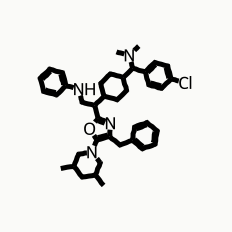 CC1CC(C)CN(c2oc(C(CNc3ccccc3)C3CCC(C(c4ccc(Cl)cc4)N(C)C)CC3)nc2Cc2ccccc2)C1